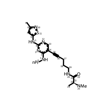 CCCNc1nc(Nc2cc(C)ns2)ncc1C#CCCCNC(=O)[C@H](C)NC